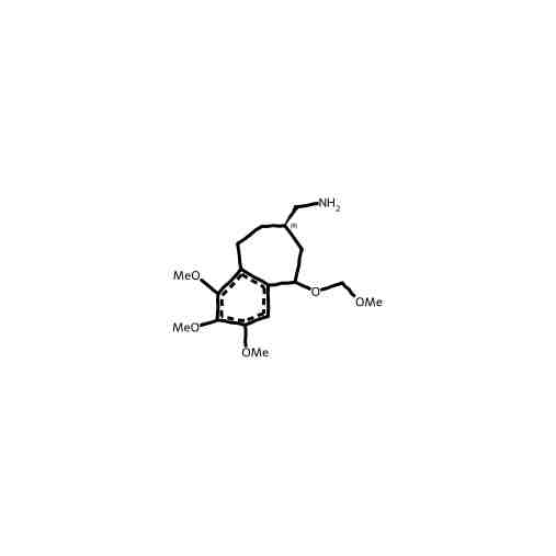 COCOC1C[C@H](CN)CCc2c1cc(OC)c(OC)c2OC